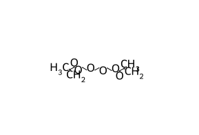 C=C(C)C(=O)OCCOCCOCCOC(=O)C(=C)C